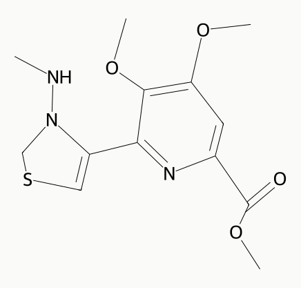 CNN1CSC=C1c1nc(C(=O)OC)cc(OC)c1OC